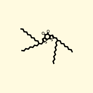 CCCCCCCCCCC(CCCCCCCC)Cc1cc2c(s1)-c1sc(CC(CCCCCCCC)CCCCCCCCCC)cc1C(=O)C2=O